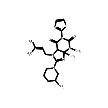 CC(C)=CCN1C(N2CCCC(N)C2)=NC2(C)C1C(=O)N(c1nccs1)C(=O)N2C